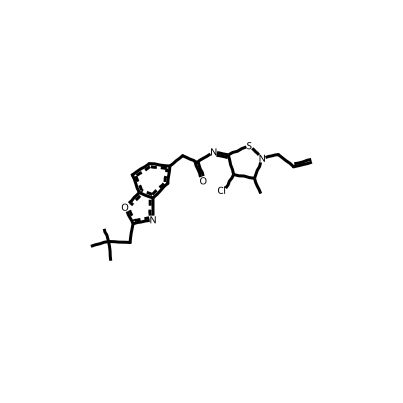 C=CCN1SC(=NC(=O)Cc2ccc3oc(CC(C)(C)C)nc3c2)C(Cl)C1C